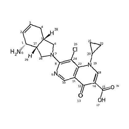 N[C@@H]1C=CC[C@@H]2CN(c3ncc4c(=O)c(C(=O)O)cn(C5CC5)c4c3Cl)C[C@@H]21